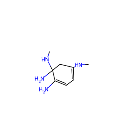 CNC1=CC=C(N)C(N)(NC)C1